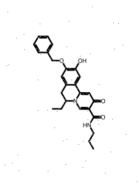 CCCNC(=O)c1cn2c(cc1=O)-c1cc(O)c(OCc3ccccc3)cc1CC2CC